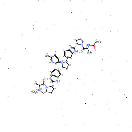 COC(=O)N[C@H](C(=O)N1CCC[C@H]1c1nc2ccc([C@H]3CC[C@H](c4ccc5nc([C@@H]6CCCN6C(=O)[C@H](C(C)C)N(C)C(=O)O)[nH]c5c4)N3c3ccc(C(C)(C)C)nc3)cc2[nH]1)C(C)C